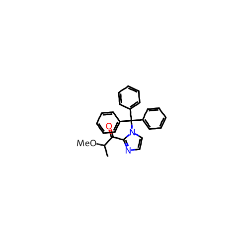 COC(C)C(=O)c1nccn1C(c1ccccc1)(c1ccccc1)c1ccccc1